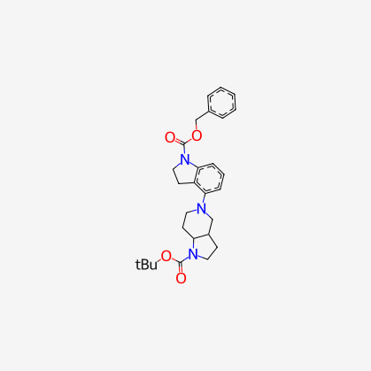 CC(C)(C)OC(=O)N1CCC2CN(c3cccc4c3CCN4C(=O)OCc3ccccc3)CCC21